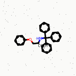 O=C(O)C(COc1ccccc1)NC(c1ccccc1)(c1ccccc1)c1ccccc1